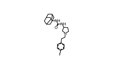 O=C(NC1CCN(CCc2ccc(F)cc2)C1)NC12CC3CC(CC(C3)C1)C2